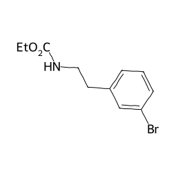 CCOC(=O)NCCc1cccc(Br)c1